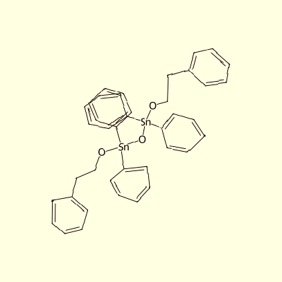 c1ccc(CC[O][Sn]([O][Sn]([O]CCc2ccccc2)([c]2ccccc2)[c]2ccccc2)([c]2ccccc2)[c]2ccccc2)cc1